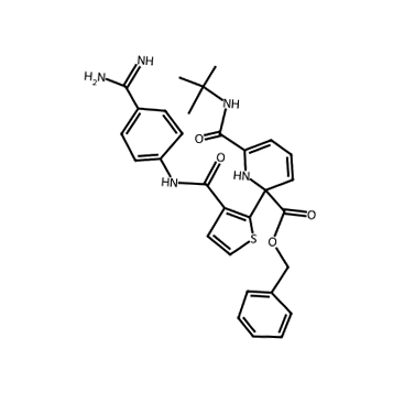 CC(C)(C)NC(=O)C1=CC=CC(C(=O)OCc2ccccc2)(c2sccc2C(=O)Nc2ccc(C(=N)N)cc2)N1